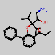 CCC(=O)c1cccc(-c2ccccc2)c1OC(C(C)C)(C(C)C)C(O)CN